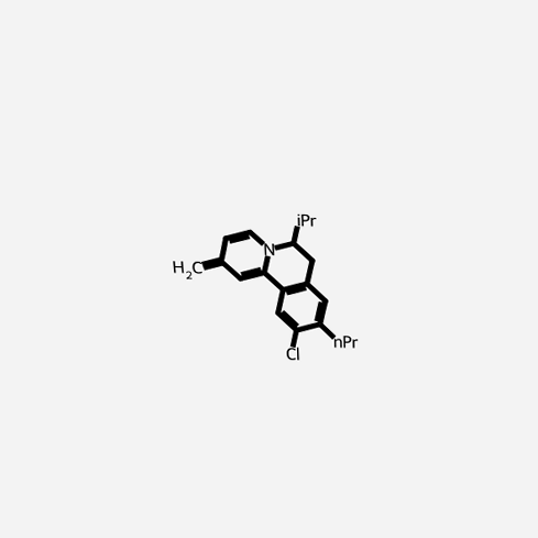 C=C1C=CN2C(=C1)c1cc(Cl)c(CCC)cc1CC2C(C)C